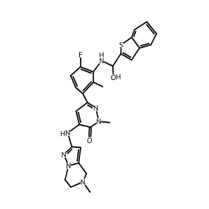 Cc1c(-c2cc(Nc3cc4n(n3)CCN(C)C4)c(=O)n(C)n2)ccc(F)c1NC(O)c1cc2ccccc2s1